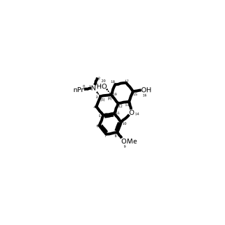 CCCN(C)[C@H]1Cc2ccc(OC)c3c2C2C(O3)C(O)CC[C@@]21O